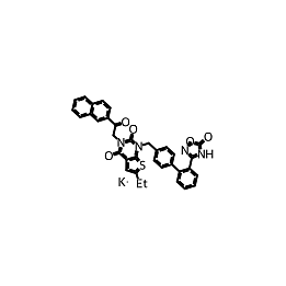 CCc1cc2c(=O)n(CC(=O)c3ccc4ccccc4c3)c(=O)n(Cc3ccc(-c4ccccc4-c4noc(=O)[nH]4)cc3)c2s1.[K]